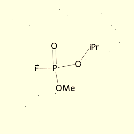 COP(=O)(F)OC(C)C